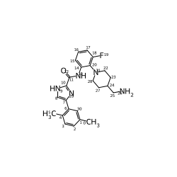 Cc1ccc(C)c(-c2c[nH]c(C(=O)Nc3cccc(F)c3N3CCC(CN)CC3)n2)c1